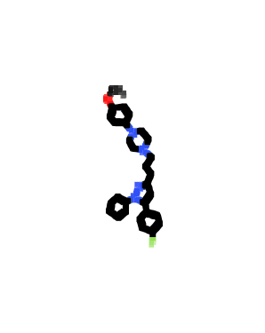 COc1ccc(N2CCN(CCCc3cc(-c4ccc(F)cc4)n(-c4ccccc4)n3)CC2)cc1